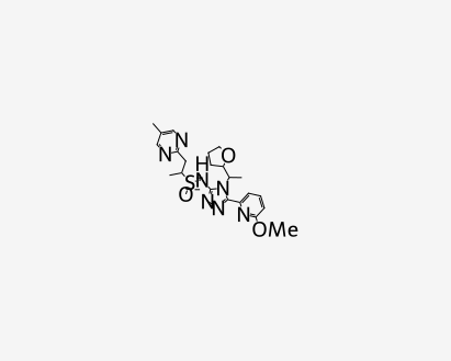 COc1cccc(-c2nnc(N[S+]([O-])C(C)Cc3ncc(C)cn3)n2C(C)C2CCCO2)n1